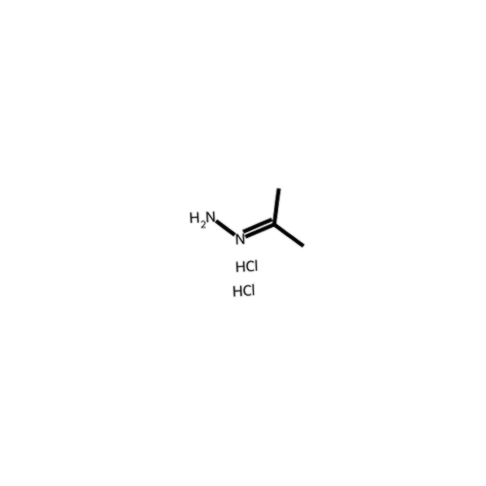 CC(C)=NN.Cl.Cl